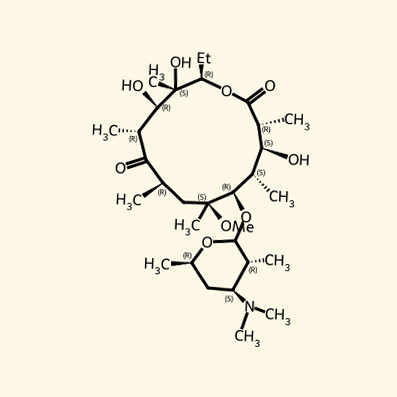 CC[C@H]1OC(=O)[C@H](C)[C@@H](O)[C@H](C)[C@@H](OC2O[C@H](C)C[C@H](N(C)C)[C@H]2C)[C@@](C)(OC)C[C@@H](C)C(=O)[C@H](C)[C@@H](O)[C@]1(C)O